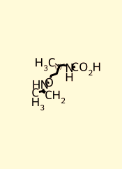 C=C(C)NOCC[C@H](C)CNC(=O)O